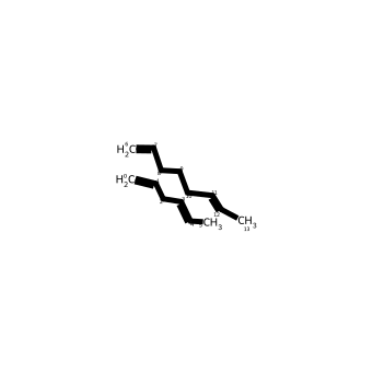 C=CCC=CC.C=CCCCC=CC